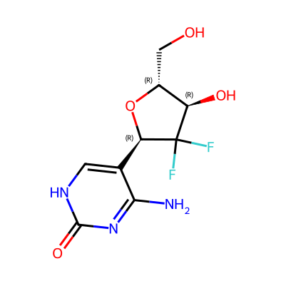 Nc1nc(=O)[nH]cc1[C@H]1O[C@H](CO)[C@@H](O)C1(F)F